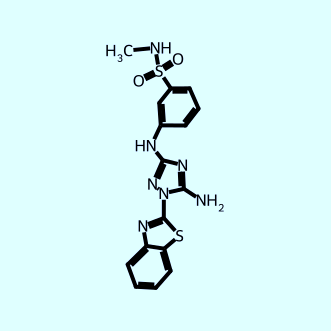 CNS(=O)(=O)c1cccc(Nc2nc(N)n(-c3nc4ccccc4s3)n2)c1